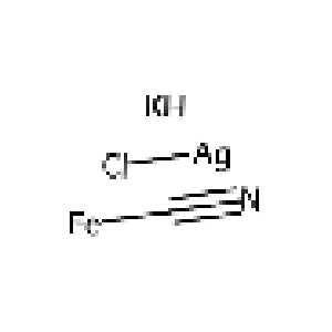 N#[C][Fe].[Cl][Ag].[KH]